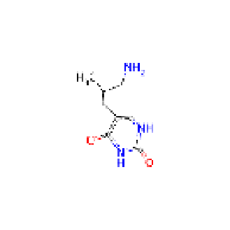 CC(=Cc1c[nH]c(=O)[nH]c1=O)CN